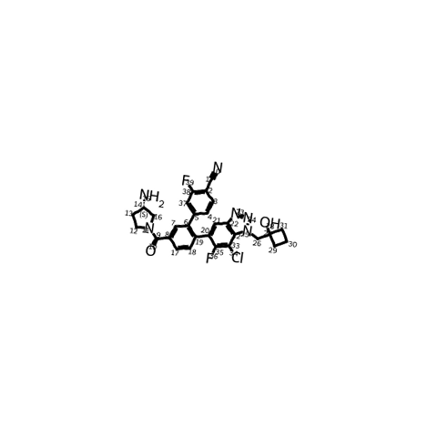 N#Cc1ccc(-c2cc(C(=O)N3CC[C@H](N)C3)ccc2-c2cc3nnn(CC4(O)CCC4)c3c(Cl)c2F)cc1F